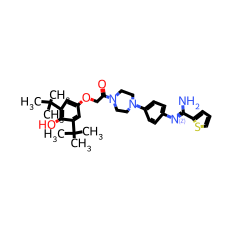 CC(C)(C)c1cc(OCC(=O)N2CCN(c3ccc(/N=C(\N)c4cccs4)cc3)CC2)cc(C(C)(C)C)c1O